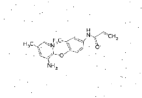 C=CC(=O)Nc1ccc(Oc2ncc(C)cc2N)c(C(F)(F)F)c1